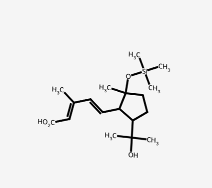 CC(C=CC1C(C(C)(C)O)CCC1(C)O[Si](C)(C)C)=CC(=O)O